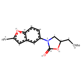 CCCc1cc2cc(N3CC(COC)OC3=O)ccc2o1